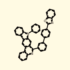 c1ccc(-n2c3ccccc3c3cc4c(cc32)c(-c2cccc(-c3ccc(-c5nc6ccccc6o5)cc3)c2)nc2ccccc24)cc1